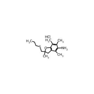 CCCSCC1(C)Cc2c(C)c(N)c(C)c(C)c2O1.Cl